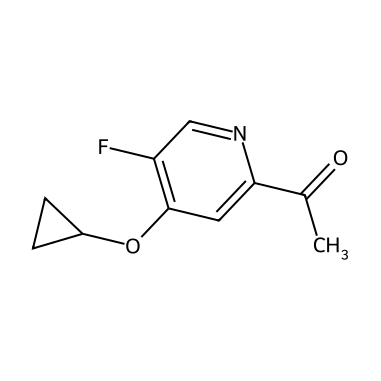 CC(=O)c1cc(OC2CC2)c(F)cn1